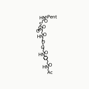 CCCCCNC(=O)CCSC1CC(=O)N(CCC(=O)NCCOCCOCCC(=O)Nc2ccc(CCC(=O)NCCC(C)=O)cc2)C1=O